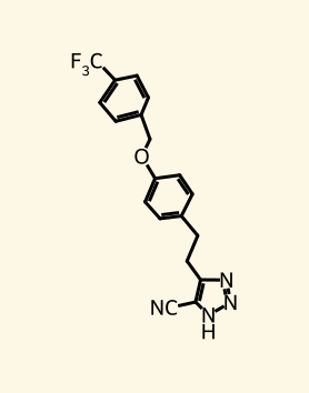 N#Cc1[nH]nnc1CCc1ccc(OCc2ccc(C(F)(F)F)cc2)cc1